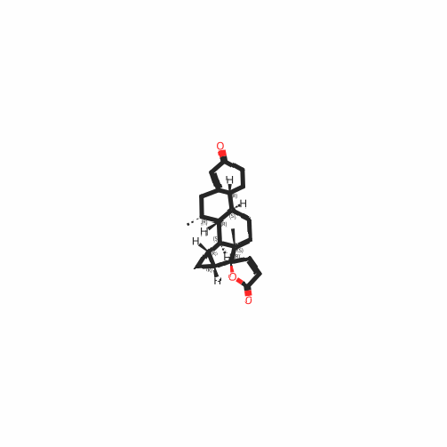 C[C@@H]1CC2=CC(=O)CC[C@@H]2[C@H]2CC[C@@]3(C)[C@@H]([C@H]4C[C@H]4[C@@]34C=CC(=O)O4)[C@@H]21